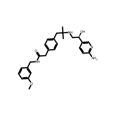 COc1cccc(CNC(=O)Cc2ccc(CC(C)(C)NC[C@@H](O)c3ccc(N)nc3)cc2)c1